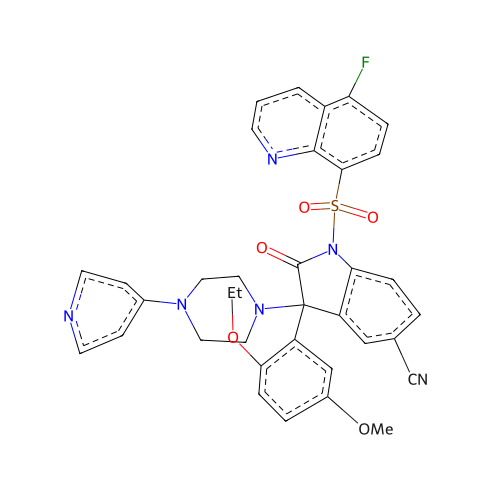 CCOc1ccc(OC)cc1C1(N2CCN(c3ccncc3)CC2)C(=O)N(S(=O)(=O)c2ccc(F)c3cccnc23)c2ccc(C#N)cc21